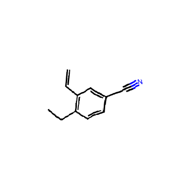 C=Cc1cc(C#N)ccc1CC